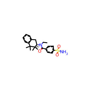 CCN(C(=O)c1ccc(S(N)(=O)=O)cc1)[C@@H]1Cc2ccccc2C(C)(C)C1(C)C